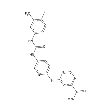 CNC(=O)c1cc(Sc2ccc(NC(=O)Nc3ccc(Cl)c(C(F)(F)F)c3)cn2)ncn1